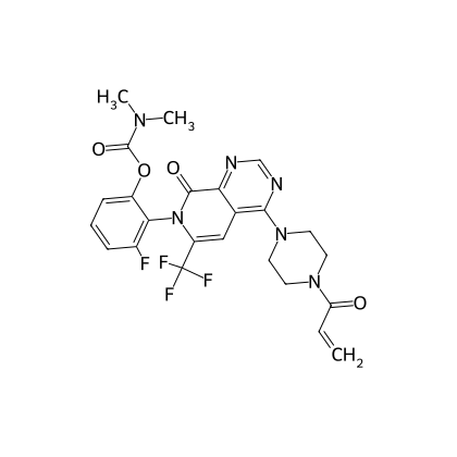 C=CC(=O)N1CCN(c2ncnc3c(=O)n(-c4c(F)cccc4OC(=O)N(C)C)c(C(F)(F)F)cc23)CC1